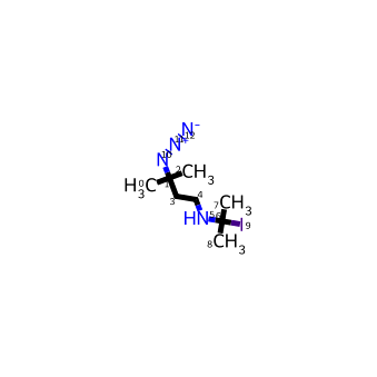 CC(C)(CCNC(C)(C)I)N=[N+]=[N-]